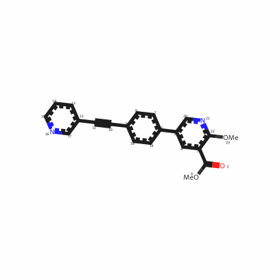 COC(=O)c1cc(-c2ccc(C#Cc3cccnc3)cc2)cnc1OC